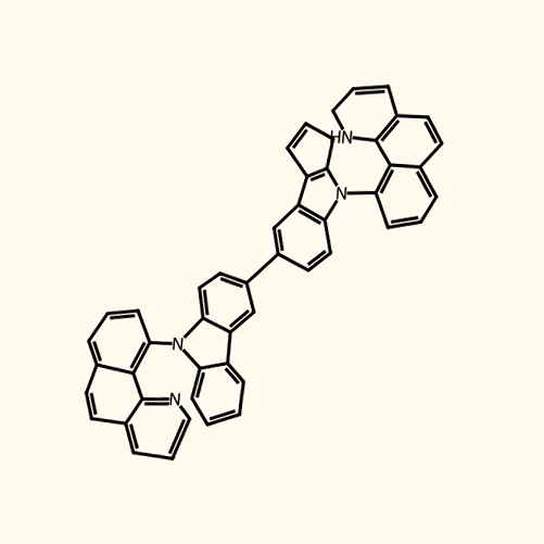 C1=Cc2ccc3cccc(-n4c5c(c6cc(-c7ccc8c(c7)c7ccccc7n8-c7cccc8ccc9cccnc9c78)ccc64)C=CC5)c3c2NC1